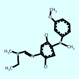 CCN(C)C=Nc1cc(Cl)c(N(C)c2cccc(OC)c2)cc1Cl